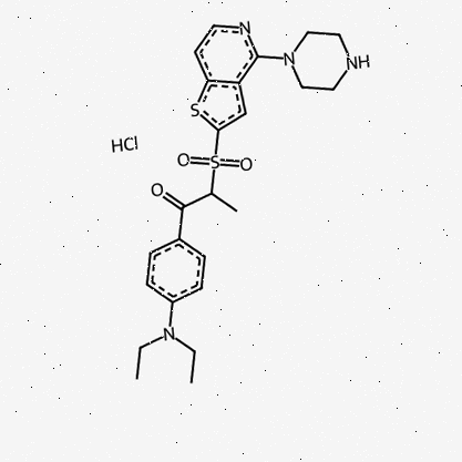 CCN(CC)c1ccc(C(=O)C(C)S(=O)(=O)c2cc3c(N4CCNCC4)nccc3s2)cc1.Cl